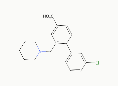 O=C(O)c1ccc(-c2cccc(Cl)c2)c(CN2CCCCC2)c1